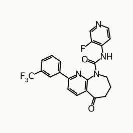 O=C1CCCN(C(=O)Nc2ccncc2F)c2nc(-c3cccc(C(F)(F)F)c3)ccc21